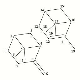 C=C1CCC2CC1C2(C)C.CC1=CCC2CC1C2(C)C